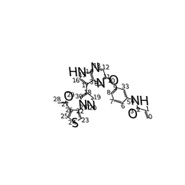 C=CC(=O)Nc1cccc(Oc2cnc3[nH]cc(-c4cnn(-c5cscc5C(C)=O)c4)c3n2)c1